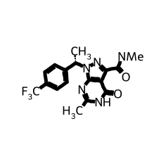 CNC(=O)c1nn([C@@H](C)c2ccc(C(F)(F)F)cc2)c2nc(C)[nH]c(=O)c12